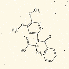 COc1ccc(N(C(=O)c2ccccc2)[C@@H](C)C(=O)O)cc1OC